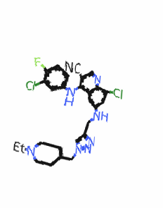 CCN1CCC(Cn2cc(CNc3cc(Cl)c4ncc(C#N)c(Nc5ccc(F)c(Cl)c5)c4c3)nn2)CC1